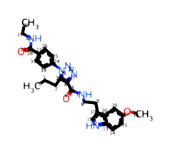 CCCc1c(C(=O)NCCc2c[nH]c3ccc(OC)cc23)nnn1-c1ccc(C(=O)NCC)cc1